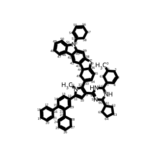 CC1CC=CC(C2NC(c3cc(-c4ccc(-c5ccccc5)c(C5=CC=CCC5)c4)n(C)c3C3=CC=C4Sc5cc6c(cc5C4C3)c3ccccc3n6C3=CC=CCC3)=NC(C3CCCC3)N2)C1